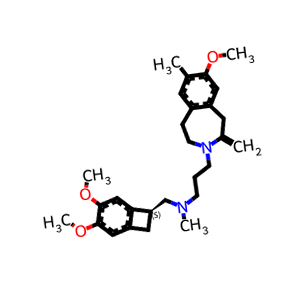 C=C1Cc2cc(OC)c(C)cc2CCN1CCCN(C)C[C@H]1Cc2cc(OC)c(OC)cc21